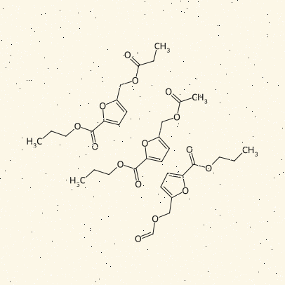 CCCOC(=O)c1ccc(COC(=O)CC)o1.CCCOC(=O)c1ccc(COC(C)=O)o1.CCCOC(=O)c1ccc(COC=O)o1